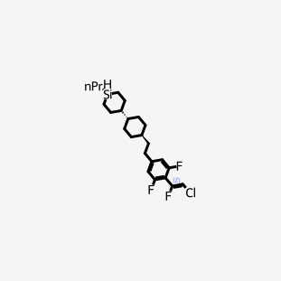 CCC[SiH]1CCC([C@H]2CC[C@H](CCc3cc(F)c(/C(F)=C/Cl)c(F)c3)CC2)CC1